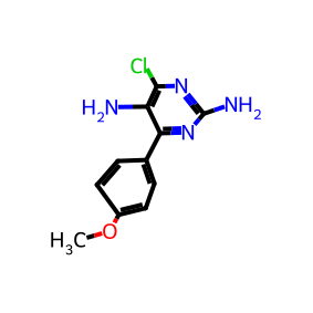 COc1ccc(-c2nc(N)nc(Cl)c2N)cc1